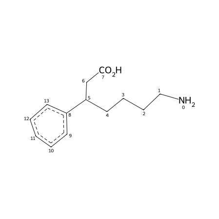 NCCCCC(CC(=O)O)c1ccccc1